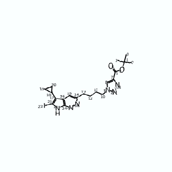 CC(C)(C)OC(=O)c1cn(CCCCc2cc3c(C4CC4)c(I)[nH]c3nn2)nn1